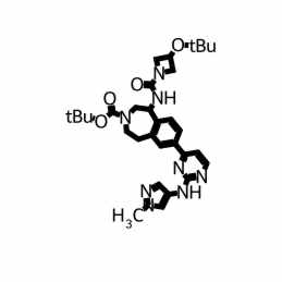 Cn1cc(Nc2nccc(-c3ccc4c(c3)CCN(C(=O)OC(C)(C)C)CC4NC(=O)N3CC(OC(C)(C)C)C3)n2)cn1